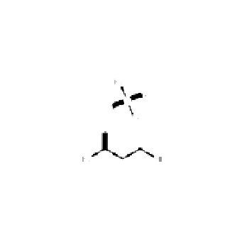 NCCC(=O)O.O=S(=O)(O)O